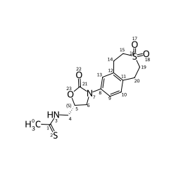 CC(=S)NC[C@H]1CN(c2ccc3c(c2)CCS(=O)(=O)CC3)C(=O)O1